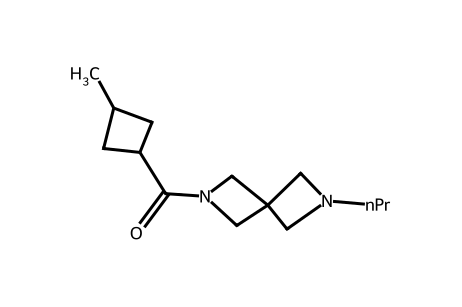 CCCN1CC2(C1)CN(C(=O)C1CC(C)C1)C2